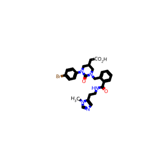 Cn1cncc1CCNC(=O)c1ccccc1CN1CC(CC(=O)O)CN(c2ccc(Br)cc2)C1=O